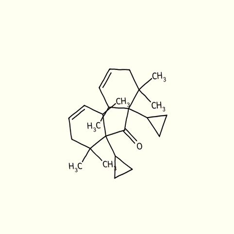 CC1C=CCC(C)(C)C1(C(=O)C1(C2CC2)C(C)C=CCC1(C)C)C1CC1